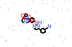 CC(C)(C)[C@@]1(C(=O)O)CCCN1Cc1cc(Nc2nccc(-c3cccc(C#N)c3)n2)ccc1N1CCOCC1